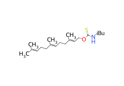 CCC(C)NC(=S)OC/C=C(\C)CC/C=C(\C)CCC=C(C)C